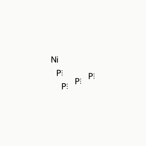 [Ni].[P].[P].[P].[P]